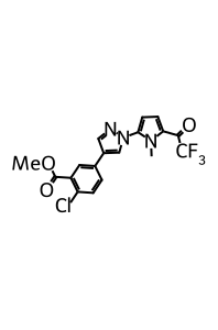 COC(=O)c1cc(-c2cnn(-c3ccc(C(=O)C(F)(F)F)n3C)c2)ccc1Cl